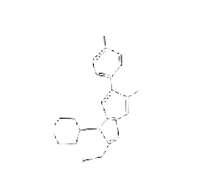 Cc1cc2nc(CCl)n(C3CCOCC3)c2cc1-c1ccc(F)cc1